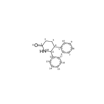 O=C1CCC(c2ccccc2)C(c2ccccc2)N1